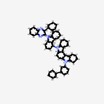 c1ccc(-c2cccc(-n3c4ccccc4c4c5c6ccccc6n(-c6cccc7c6c6ccccc6n7-c6nc7ccccc7nc6-c6ccccc6)c5ccc43)c2)cc1